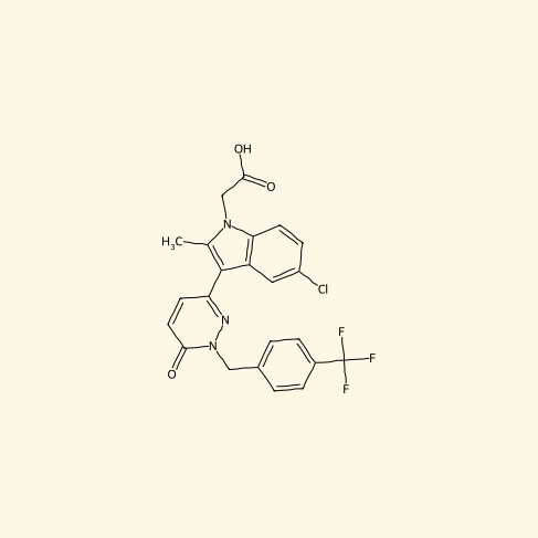 Cc1c(-c2ccc(=O)n(Cc3ccc(C(F)(F)F)cc3)n2)c2cc(Cl)ccc2n1CC(=O)O